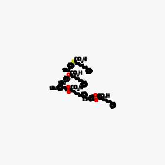 CC(C)(C)c1ccc(CCS(=O)(=O)C(CCCCCc2ccccc2)C(=O)O)cc1.CC(C)(C)c1ccc(OC(CCCCCCc2ccccc2)C(=O)O)cc1.CC(C)(C)c1ccc(SC(CCCCCCc2ccccc2)C(=O)O)cc1.CCc1ccc(S(=O)(=O)C(CCCCCCc2ccccc2)C(=O)O)cc1